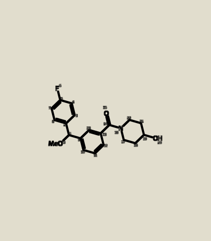 COC(c1ccc(F)cc1)c1cccc(C(=O)N2CCC(O)CC2)c1